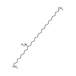 CCCCCCCCCCCCCCCCCCC(N)CCCCCCCCC